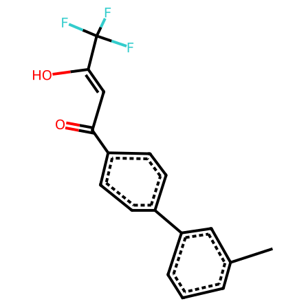 Cc1cccc(-c2ccc(C(=O)/C=C(\O)C(F)(F)F)cc2)c1